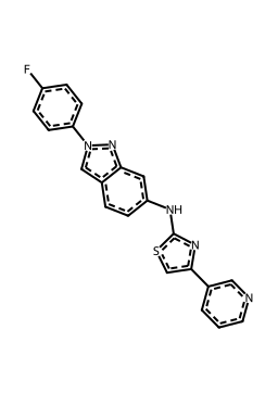 Fc1ccc(-n2cc3ccc(Nc4nc(-c5cccnc5)cs4)cc3n2)cc1